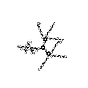 COCCOCCOCCOc1cc(COc2cc(COC(=O)CN(CCN(CCN(CC(=O)O)CC(=O)O)CC(=O)O)CC(=O)O)cc(OCc3cc(OCCOCCOCCOC)c(OCCOCCOCCOC)c(OCCOCCOCCOC)c3)c2)cc(OCCOCCOCCO)c1OCCOCCOCCOC